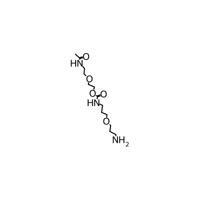 CC(=O)NCCOCCOC(=O)NCCCOCCCN